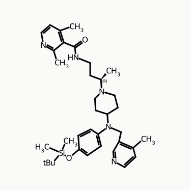 Cc1ccncc1CN(c1ccc(O[Si](C)(C)C(C)(C)C)cc1)C1CCN([C@H](C)CCNC(=O)c2c(C)ccnc2C)CC1